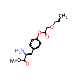 C=CCOCC(=O)Oc1ccc(C=C(N)C(=O)OC)cc1